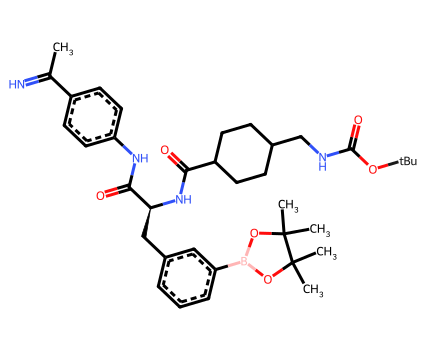 CC(=N)c1ccc(NC(=O)[C@H](Cc2cccc(B3OC(C)(C)C(C)(C)O3)c2)NC(=O)C2CCC(CNC(=O)OC(C)(C)C)CC2)cc1